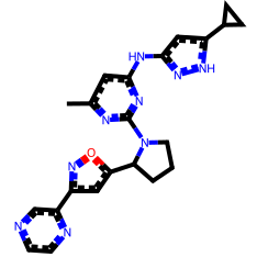 Cc1cc(Nc2cc(C3CC3)[nH]n2)nc(N2CCCC2c2cc(-c3cnccn3)no2)n1